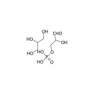 O=CC(O)COP(=O)(O)O.OCC(O)CO